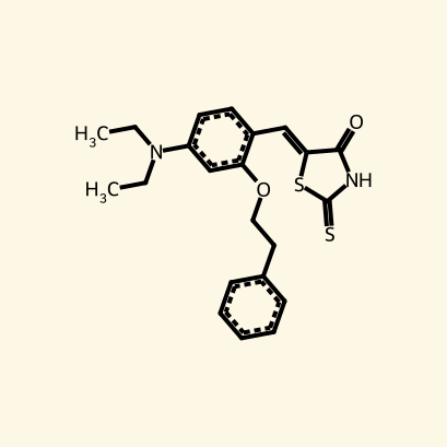 CCN(CC)c1ccc(/C=C2\SC(=S)NC2=O)c(OCCc2ccccc2)c1